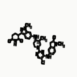 C[C@H]1CN(c2ncc(Cl)c(Nc3ccc4c(c3)CC(=O)N4C)n2)CC[C@H]1Nc1ccc2c(C3CCC(=O)NC3=O)nn(C)c2c1